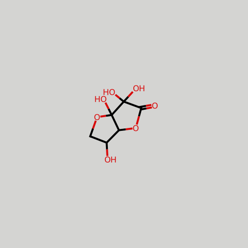 O=C1OC2C(O)COC2(O)C1(O)O